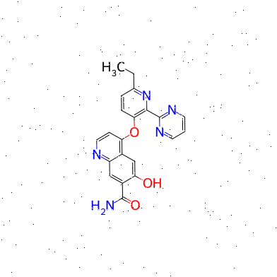 CCc1ccc(Oc2ccnc3cc(C(N)=O)c(O)cc23)c(-c2ncccn2)n1